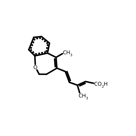 CC(C=CC1=C(C)c2ccccc2OCC1)=CC(=O)O